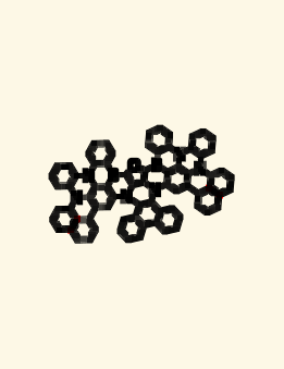 c1ccc(-c2cc3c4c5c2N(c2ccccc2)c2ccccc2N5c2ccccc2B4c2oc4c5c2N3c2c(c3ccccc3c3ccccc23)N5c2cc(-c3ccccc3)c3c5c2B4c2ccccc2N5c2ccccc2N3c2ccccc2)cc1